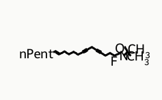 CCCCC/C=C/CCCCC#CCC#CCCC(F)C1=NC(C)(C)CO1